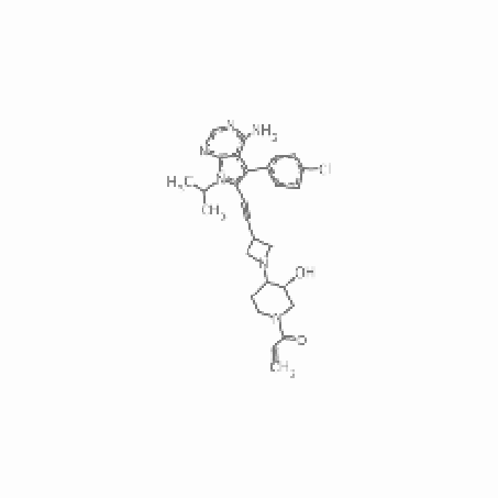 C=CC(=O)N1CC[C@@H](N2CC(C#Cc3c(-c4ccc(Cl)cc4)c4c(N)ncnc4n3C(C)C)C2)[C@@H](O)C1